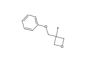 FC1(COc2cc[c]cc2)COC1